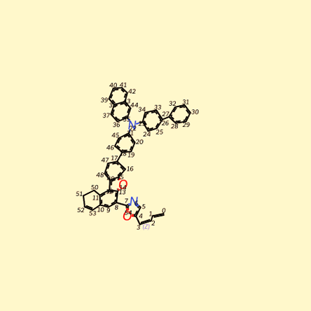 C=C/C=C\c1cnc(-c2cc3c(c4c2oc2cc(-c5ccc(N(c6ccc(-c7ccccc7)cc6)c6ccc7ccccc7c6)cc5)ccc24)CCC=C3)o1